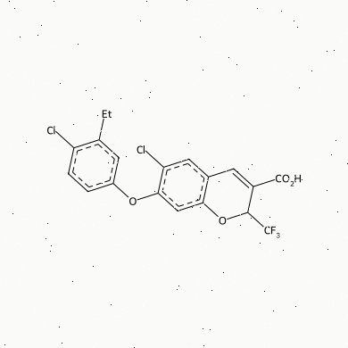 CCc1cc(Oc2cc3c(cc2Cl)C=C(C(=O)O)C(C(F)(F)F)O3)ccc1Cl